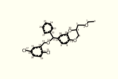 CCOCC1COc2ccc(C(OCc3cc(Cl)ccc3Cl)c3ccccc3)cc2O1